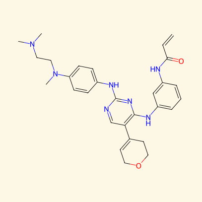 C=CC(=O)Nc1cccc(Nc2nc(Nc3ccc(N(C)CCN(C)C)cc3)ncc2C2=CCOCC2)c1